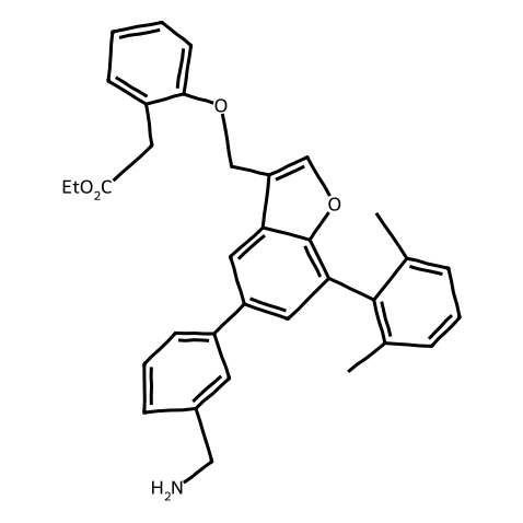 CCOC(=O)Cc1ccccc1OCc1coc2c(-c3c(C)cccc3C)cc(-c3cccc(CN)c3)cc12